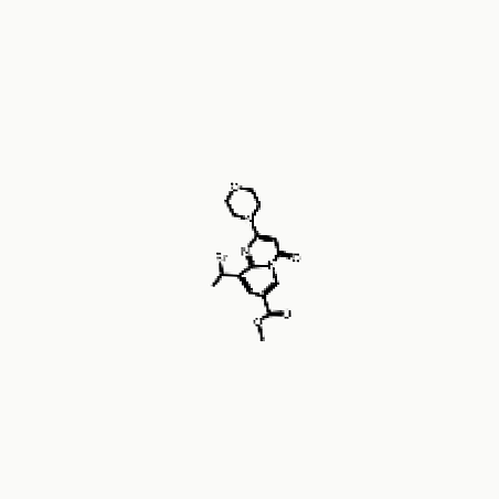 COC(=O)c1cc(C(C)Br)c2nc(N3CCOCC3)cc(=O)n2c1